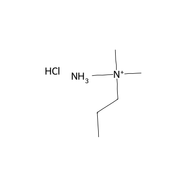 CCC[N+](C)(C)C.Cl.N